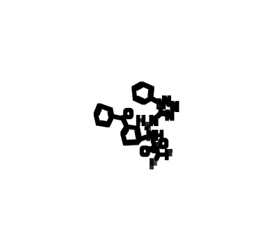 Nc1nnnn1-c1ccccc1.O=C(c1ccccc1)c1cccc(NS(=O)(=O)C(F)F)c1